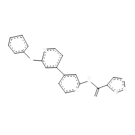 O=C(Nc1cc(-c2ccnc(Nc3ccccc3)c2)ccn1)c1csnn1